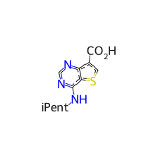 CCCC(C)Nc1ncnc2c(C(=O)O)csc12